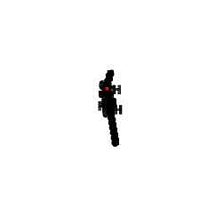 C#C[C@]1(COC(=O)CCCCCC)O[C@@H](n2cnc3c(NC(=O)CCCCCCCCCCCCC)nc(F)nc32)C[C@@H]1O